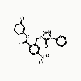 O=C1C=C(OC(=O)c2ccc([N+](=O)[O-])cc2Cn2nnn(-c3ccccc3)c2=O)CCC1